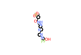 Cc1ccc(C(=O)NCc2cc3nc(-c4cccc(N5C[C@@H](O)C(F)(F)C5)n4)ccc3cn2)cc1S(C)(=O)=O